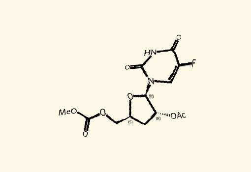 COC(=O)OC[C@@H]1C[C@@H](OC(C)=O)[C@H](n2cc(F)c(=O)[nH]c2=O)O1